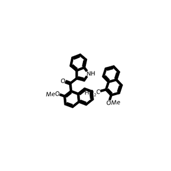 COc1ccc2ccccc2c1C(=O)O.COc1ccc2ccccc2c1C(=O)c1c[nH]c2ccccc12